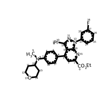 CCOC(=O)c1cc(-c2ccc(N(C)C3CCOCC3)cc2)c2c(C(C)C)nn(-c3cccc(F)c3)c2n1